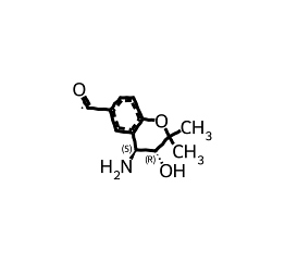 CC1(C)Oc2ccc([C]=O)cc2[C@H](N)[C@H]1O